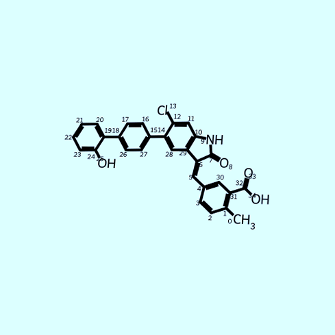 Cc1ccc(C=C2C(=O)Nc3cc(Cl)c(-c4ccc(-c5ccccc5O)cc4)cc32)cc1C(=O)O